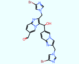 O=Cc1ccc2nc(Cn3cnc(Br)c3)c(C(O)c3ccc4nc(Cn5cnc(Br)c5)cn4c3)n2c1